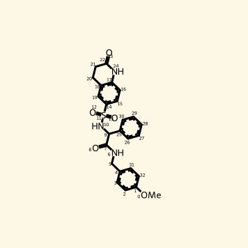 COc1ccc(CNC(=O)C(NS(=O)(=O)c2ccc3c(c2)CCC(=O)N3)c2ccccc2)cc1